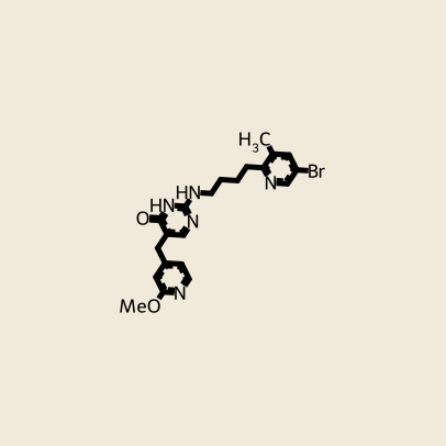 COc1cc(Cc2cnc(NCCCCc3ncc(Br)cc3C)[nH]c2=O)ccn1